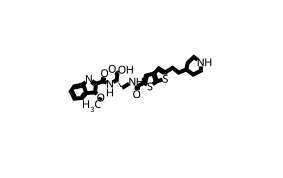 COC1C(C(=O)N[C@@H](CNC(=O)c2cc3cc(CCC4CCNCC4)sc3s2)C(=O)O)=Nc2ccccc21